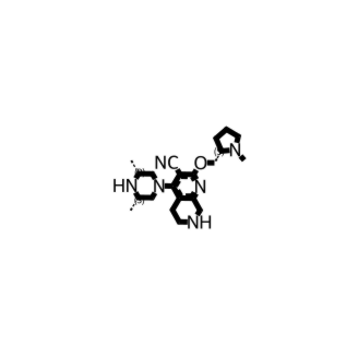 C[C@@H]1CN(c2c(C#N)c(OC[C@@H]3CCCN3C)nc3c2CCNC3)C[C@H](C)N1